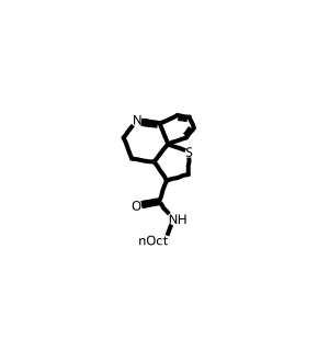 CCCCCCCCNC(=O)C1CSC23C=CC=CC2=NCCC13